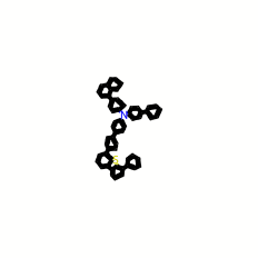 c1ccc(-c2ccc(N(c3ccc(-c4ccc(-c5cccc6c5sc5c(-c7ccccc7)cccc56)cc4)cc3)c3ccc(-c4cccc5ccccc45)cc3)cc2)cc1